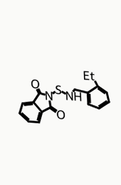 CCc1ccccc1CNSN1C(=O)c2ccccc2C1=O